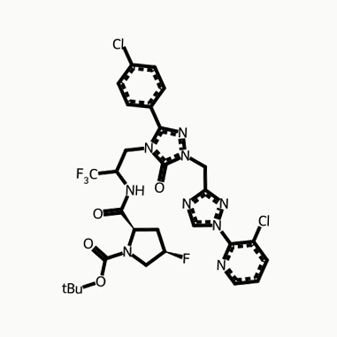 CC(C)(C)OC(=O)N1C[C@H](F)C[C@@H]1C(=O)NC(Cn1c(-c2ccc(Cl)cc2)nn(Cc2ncn(-c3ncccc3Cl)n2)c1=O)C(F)(F)F